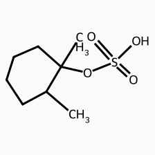 CC1CCCCC1(C)OS(=O)(=O)O